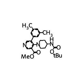 COC(=O)c1cncc(-c2cc(C)cc(C)c2)c1N1CCC(NC(=O)OC(C)(C)C)CC1